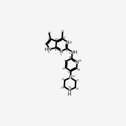 Cc1c[nH]c2nc(Nc3ccc(N4CCNCC4)cn3)nc(C)c12